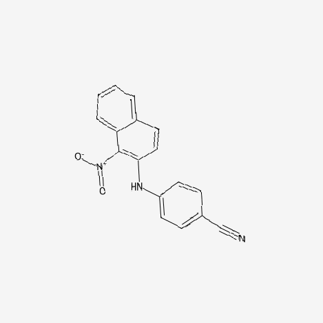 N#Cc1ccc(Nc2ccc3ccccc3c2[N+](=O)[O-])cc1